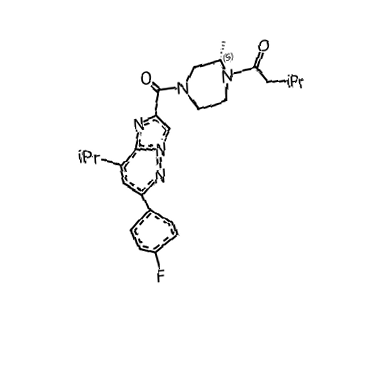 CC(C)CC(=O)N1CCN(C(=O)c2cn3nc(-c4ccc(F)cc4)cc(C(C)C)c3n2)C[C@@H]1C